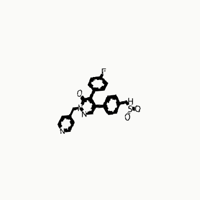 O=c1c(-c2ccc(F)cc2)c(-c2ccc(C[SH](=O)=O)cc2)cnn1Cc1ccncc1